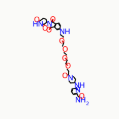 NC(=O)c1cccc(NC2CCN(C(=O)CCOCCOCCOCCOCCNc3ccc4c(c3)C(=O)N(C3CCC(=O)NC3=O)C4=O)CC2)n1